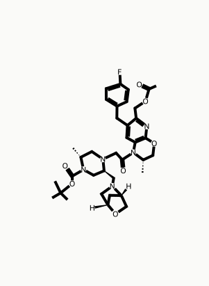 CC(=O)OCc1nc2c(cc1Cc1ccc(F)cc1)N(C(=O)CN1C[C@@H](C)N(C(=O)OC(C)(C)C)C[C@@H]1CN1C[C@@H]3C[C@H]1CO3)[C@@H](C)CO2